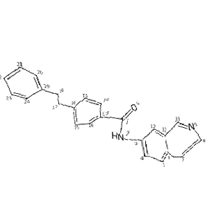 O=C(Nc1ccc2ccncc2c1)c1ccc(CCc2ccccc2)cc1